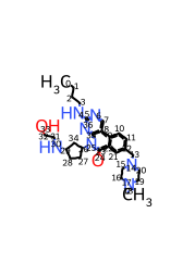 CCCCNc1ncc2c3ccc(CN4CCN(C)CC4)cc3c(=O)n([C@H]3CC[C@H](NCCO)C3)c2n1